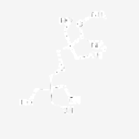 NOC(N)C(CO)(CO)COCC(CO)(CO)CO